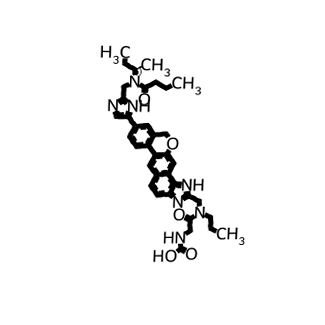 CCCC(=O)N(Cc1ncc(-c2ccc3c(c2)COc2cc4c(ccc5nc(CN(CCC)C(=O)CNC(=O)O)[nH]c54)cc2-3)[nH]1)[C@@H](C)CC